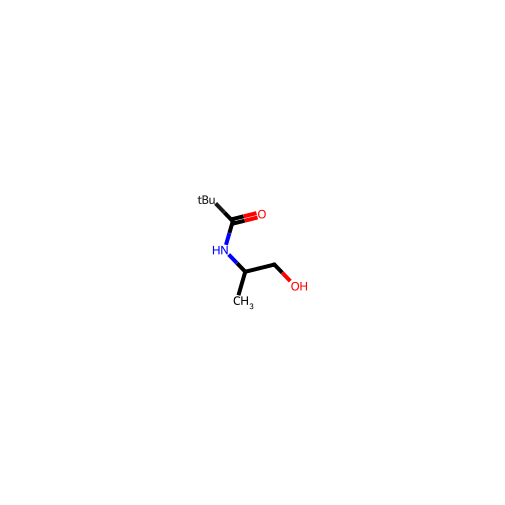 CC(CO)NC(=O)C(C)(C)C